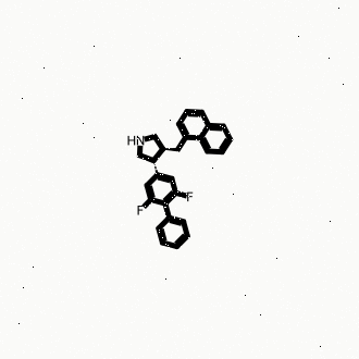 Fc1cc([C@@H]2CNC[C@H]2Cc2cccc3ccccc23)cc(F)c1-c1ccccc1